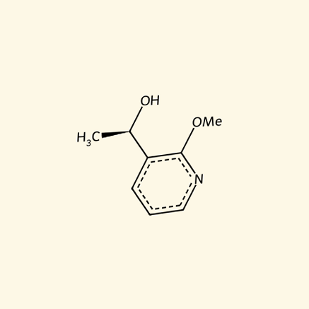 COc1ncccc1[C@@H](C)O